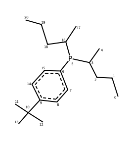 CCCC(C)P(c1ccc(C(C)(C)C)cc1)C(C)CCC